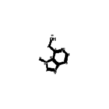 Cn1cnc2ccnc(CO)c21